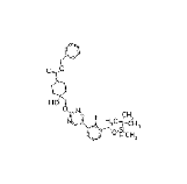 C[SiH](OCc1cccc(-c2cnc(OCC3(O)CCN(C(=O)OCc4ccccc4)CC3)nc2)c1F)C(C)(C)C